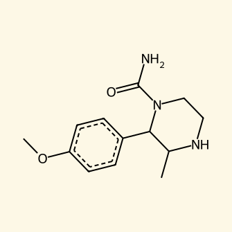 COc1ccc(C2C(C)NCCN2C(N)=O)cc1